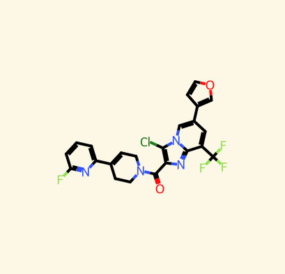 O=C(c1nc2c(C(F)(F)F)cc(-c3ccoc3)cn2c1Cl)N1CC=C(c2cccc(F)n2)CC1